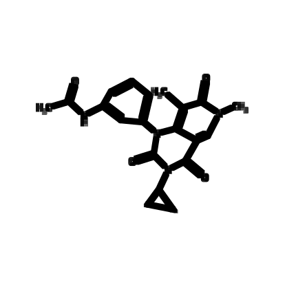 CC(=O)Nc1cccc(-n2c(=O)n(C3CC3)c(=O)c3cn(C)c(=O)c(C)c32)c1